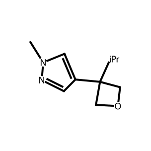 CC(C)C1(c2cnn(C)c2)COC1